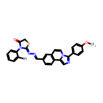 CC(C)c1ccccc1N1C(=O)CSC1=NN=Cc1ccc2c(ccn3c(-c4ccc(OC(F)(F)F)cc4)ncc23)c1